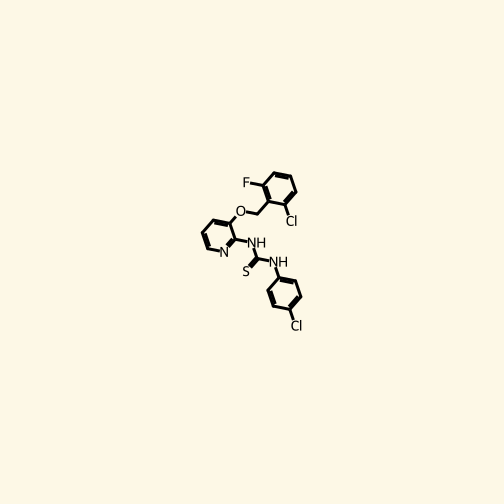 Fc1cccc(Cl)c1COc1cccnc1NC(=S)Nc1ccc(Cl)cc1